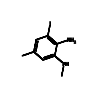 CPc1cc(C)cc(I)c1N